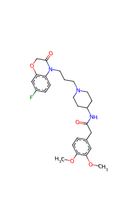 COc1ccc(CC(=O)NC2CCN(CCCN3C(=O)COc4cc(F)ccc43)CC2)cc1OC